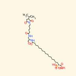 CC(C)C1CC(=O)N(CCCCCC(=O)NCC(C=O)NC(=O)CCCCCCCCCCCCCCCC(C(=O)O)P(=O)(O)O)C1=O